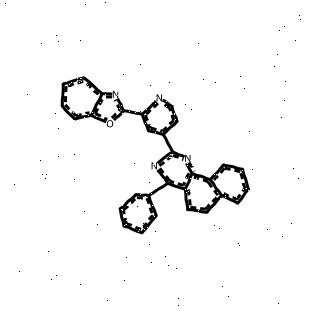 c1ccc(-c2nc(-c3ccnc(-c4nc5ccccc5o4)c3)nc3c2ccc2ccccc23)cc1